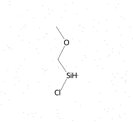 COC[SiH]Cl